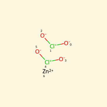 [O-][Cl+][O-].[O-][Cl+][O-].[Zn+2]